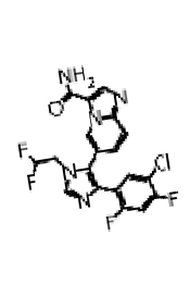 NC(=O)c1cnc2ccc(-c3c(-c4cc(Cl)c(F)cc4F)ncn3CC(F)F)cn12